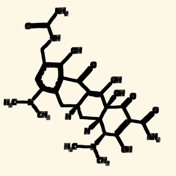 CN(C)c1cc(CNC(N)=O)c(O)c2c1C[C@H]1C[C@H]3[C@H](N(C)C)C(O)=C(C(N)=O)C(=O)[C@@]3(O)C(O)=C1C2=O